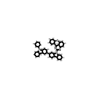 c1ccc(-n2c3ccccc3c3cc(-c4ccc5c6ccccc6n(-c6nc7c8c(cccc8n6)Sc6ccccc6-7)c5c4)ccc32)cc1